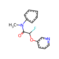 CN(C(=O)C(F)Oc1cccnc1)c1ccccc1